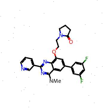 CNc1nc(-c2cccnc2)nc2c(OCCN3CCCC3=O)cc(-c3cc(F)cc(F)c3)cc12